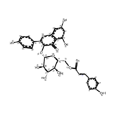 O=C(/C=C/c1ccc(O)cc1)OC[C@H]1O[C@@H](Oc2c(-c3ccc(O)cc3)oc3cc(O)cc(O)c3c2=O)[C@H](O)[C@@H](O)[C@@H]1O